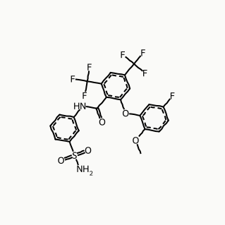 COc1ccc(F)cc1Oc1cc(C(F)(F)F)cc(C(F)(F)F)c1C(=O)Nc1cccc(S(N)(=O)=O)c1